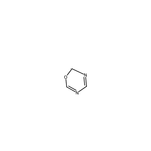 [CH]1N=CN=CO1